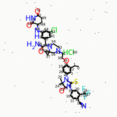 CCc1cc(N2C(=S)N(c3ccc(C#N)c(C(F)(F)F)c3)C(=O)C2(C)C)ccc1OCCN1CCN(C(C(N)=O)c2cc(Cl)cc(NC3CCC(=O)NC3=O)c2)C2(CC2)C1.Cl